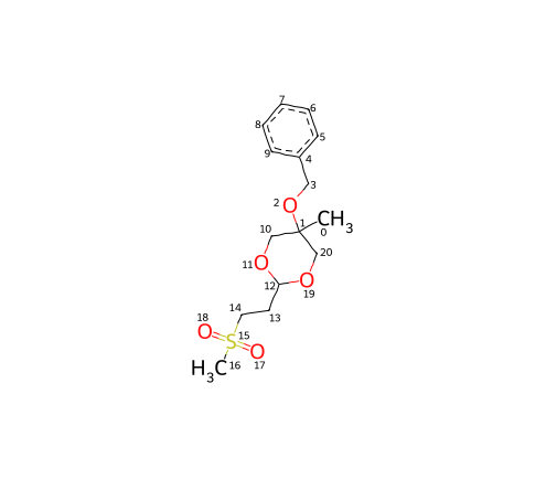 CC1(OCc2ccccc2)COC(CCS(C)(=O)=O)OC1